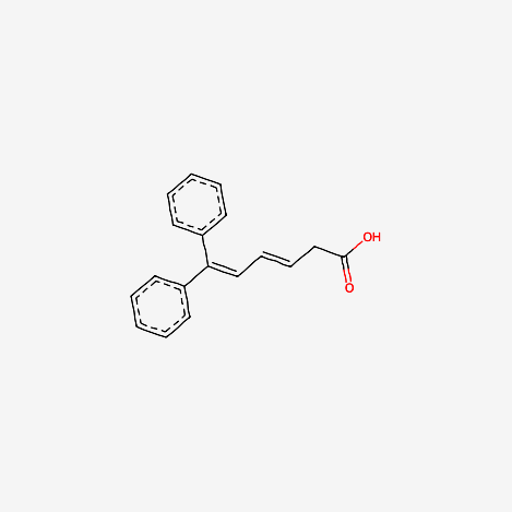 O=C(O)C/C=C/C=C(c1ccccc1)c1ccccc1